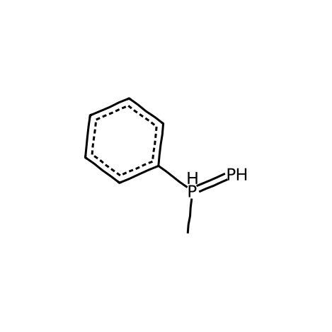 C[PH](=P)c1ccccc1